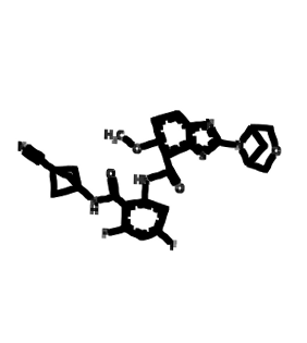 COc1ccc2nc(N3C4COCC3C4)sc2c1C(=O)Nc1cc(F)cc(F)c1C(=O)NC12CC(C#N)(C1)C2